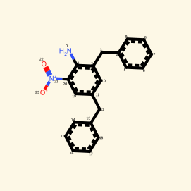 Nc1c(Cc2ccccc2)cc(Cc2ccccc2)cc1[N+](=O)[O-]